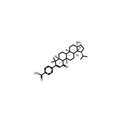 CC(C)[C@@H]1CC[C@]2(N)CC[C@]3(C)[C@H](CC[C@@H]4[C@@]5(C)C(=O)C=C(c6ccc(C(=O)O)cc6)C(C)(C)[C@@H]5CC[C@]43C)[C@@H]12